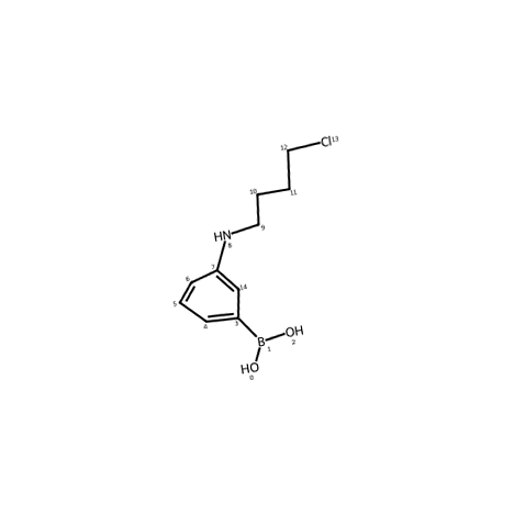 OB(O)c1cccc(NCCCCCl)c1